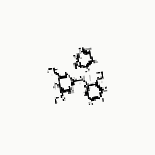 Clc1nc(Cl)nc(Nc2ccccc2Cl)n1.c1cnnnc1